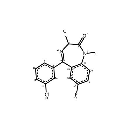 CN1C(=O)C(F)N=C(c2cccc(Cl)c2)c2cc(F)ccc21